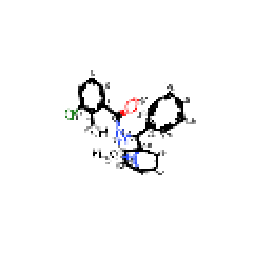 Cc1c(Cl)cccc1C(=O)NC(c1ccccc1)C12CCC(CC1)N2C